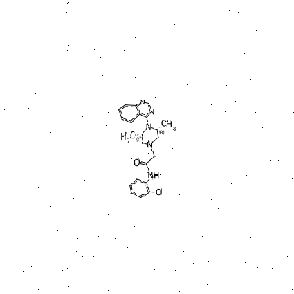 C[C@@H]1CN(CC(=O)Nc2ccccc2Cl)C[C@H](C)N1c1ncnc2ccccc12